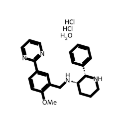 COc1ccc(-c2ncccn2)cc1CN[C@H]1CCCN[C@H]1c1ccccc1.Cl.Cl.O